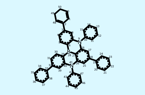 C1=CC(c2ccc3c(c2)N(c2ccccc2)c2cc(-c4ccccc4)cc4c2B3c2ccc(-c3ccccc3)cc2N4c2ccccc2)=CCC1